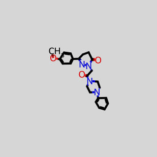 COc1ccc(C2=NN(CC(=O)N3CCN(c4ccccc4)CC3)C(=O)CC2)cc1